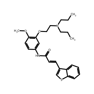 CCCN(CCC)CCOc1cc(NC(=O)C=Cc2csc3ccccc23)ccc1OC